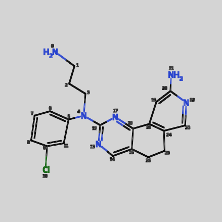 NCCCN(c1cccc(Cl)c1)c1ncc2c(n1)-c1cc(N)ncc1CC2